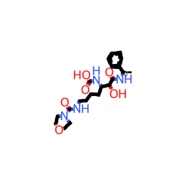 C[C@@H](NC(=O)C(O)C(CCCCNC(=O)N1CCOCC1)NC(=O)O)c1ccccc1